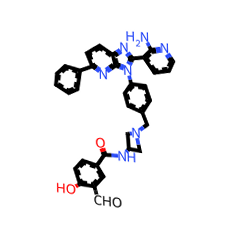 Nc1ncccc1-c1nc2ccc(-c3ccccc3)nc2n1-c1ccc(CN2CC(NC(=O)c3ccc(O)c(C=O)c3)C2)cc1